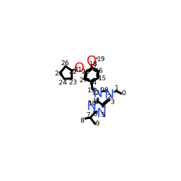 CCN1C=C2N=C(C(C)C)N=C2N(Cc2ccc(OC)c(OC3CCCC3)c2)C1